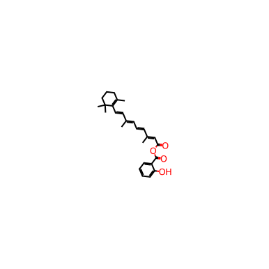 CC1=C(/C=C/C(C)=C/C=C/C(C)=C/C(=O)OC(=O)c2ccccc2O)C(C)(C)CCC1